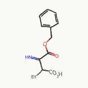 CCC(C(=N)C(=O)OCc1ccccc1)C(=O)O